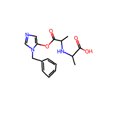 CC(NC(C)C(=O)Oc1cncn1Cc1ccccc1)C(=O)O